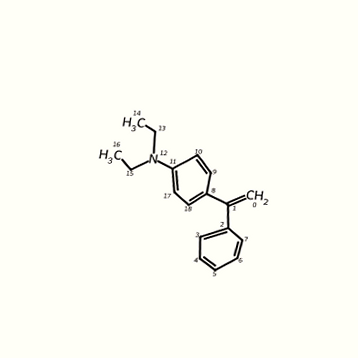 C=C(c1ccccc1)c1ccc(N(CC)CC)cc1